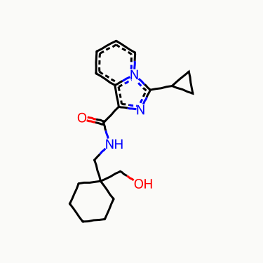 O=C(NCC1(CO)CCCCC1)c1nc(C2CC2)n2ccccc12